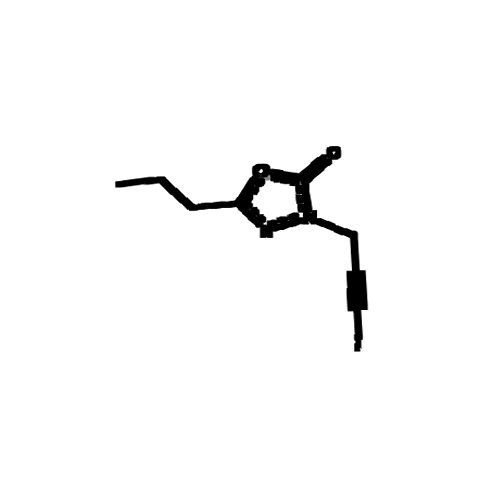 CCCc1nn(CC#CI)c(=O)o1